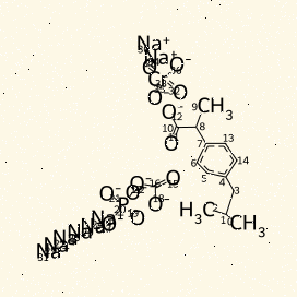 CC(C)Cc1ccc(C(C)C(=O)[O-])cc1.O=C([O-])[O-].O=P([O-])([O-])[O-].[Na+].[Na+].[Na+].[Na+].[Na+].[Na+].[Na+].[Na+].[O]=[Cr](=[O])([O-])[O-]